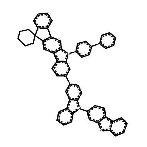 c1ccc(-c2ccc(-n3c4cc(-c5ccc6c(c5)c5ccccc5n6-c5ccc6c(c5)sc5ccccc56)ccc4c4cc5c(cc43)-c3ccccc3C53CCCCC3)cc2)cc1